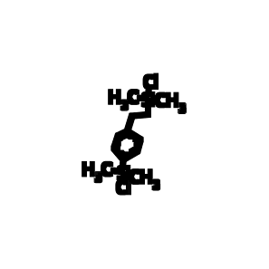 C[Si](C)(Cl)CCc1ccc([Si](C)(C)Cl)cc1